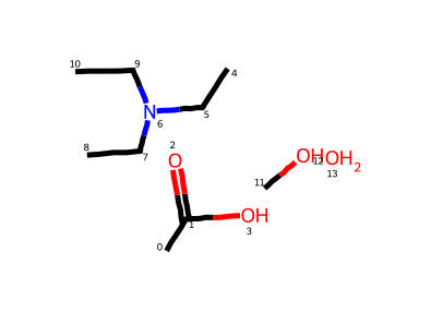 CC(=O)O.CCN(CC)CC.CO.O